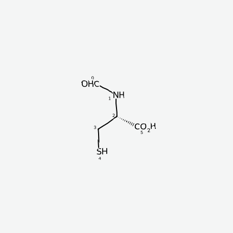 O=CN[C@@H](CS)C(=O)O